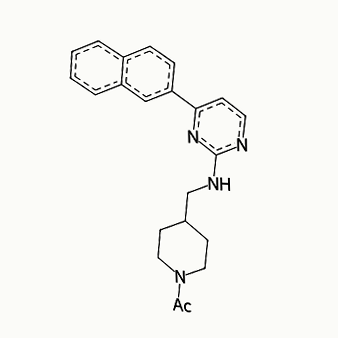 CC(=O)N1CCC(CNc2nccc(-c3ccc4ccccc4c3)n2)CC1